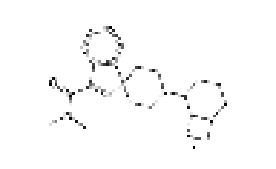 CN(C)C(=O)C1=CC2(CCN(C3CCCC4CCC43)CC2)c2ccccc21